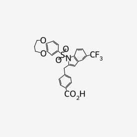 O=C(O)c1ccc(Cc2cc3cc(C(F)(F)F)ccc3n2S(=O)(=O)c2ccc3c(c2)OCCCO3)cc1